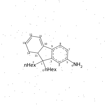 CCCCCCC1(CCCCCC)c2cc(N)ccc2C2=CC=CCC21